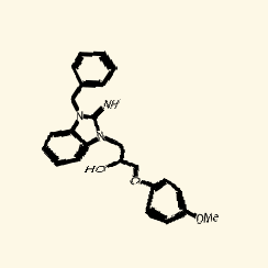 COc1ccc(OCC(O)Cn2c(=N)n(Cc3ccccc3)c3ccccc32)cc1